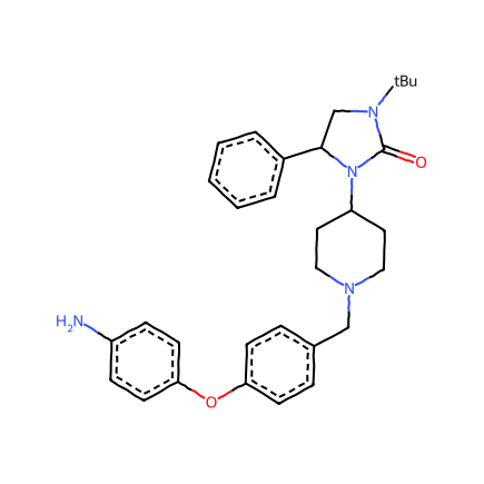 CC(C)(C)N1CC(c2ccccc2)N(C2CCN(Cc3ccc(Oc4ccc(N)cc4)cc3)CC2)C1=O